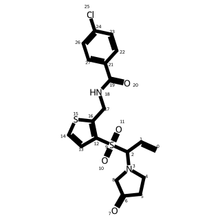 C=CC(N1CCC(=O)C1)S(=O)(=O)c1ccsc1CNC(=O)c1ccc(Cl)cc1